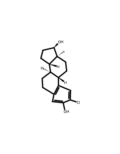 C[C@]12CC[C@@H]3c4cc(Cl)c(O)cc4CC[C@H]3[C@@H]1CC[C@H]2O